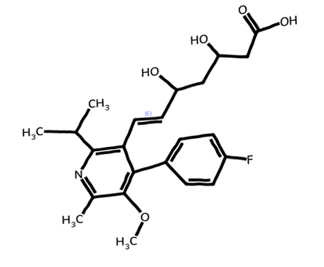 COc1c(C)nc(C(C)C)c(/C=C/C(O)CC(O)CC(=O)O)c1-c1ccc(F)cc1